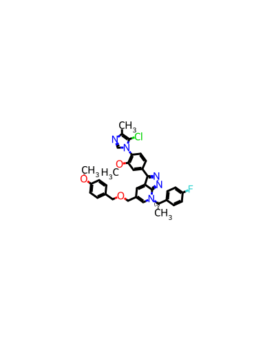 COc1ccc(COCc2cc3c(-c4ccc(-n5cnc(C)c5Cl)c(OC)c4)nnc-3n([C@@H](C)c3ccc(F)cc3)c2)cc1